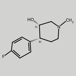 CN1CC[C@H](c2ccc(F)cc2)[C@H](O)C1